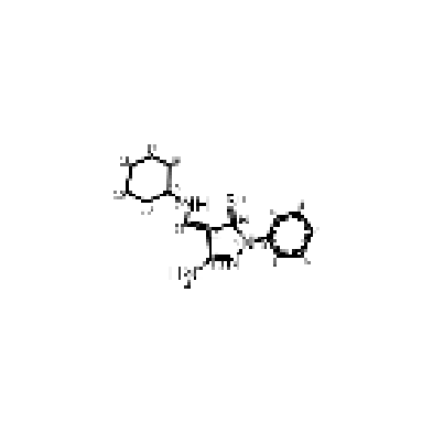 CC1=NN(c2ccccc2)C(=S)C1=CNC1CCCCC1